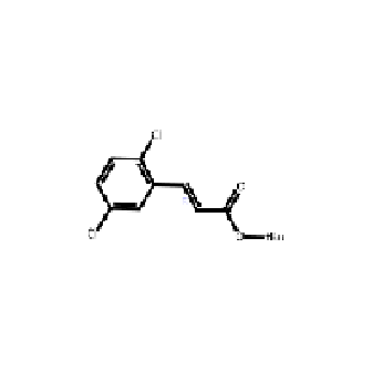 CC(C)(C)OC(=O)/C=C/c1cc(Cl)ccc1Cl